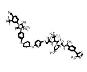 Cc1ncsc1-c1ccc([C@H](C)NC(=O)[C@@H]2C[C@@H](O)CN2C(=O)[C@@H](NC(=O)COc2ccc(O[C@H]3CC[C@H](Oc4ccc(N5C(=S)N(c6ccc(C#N)c(C(F)(F)F)c6)C(O)C5(C)C)cc4)CC3)nc2)C(C)(C)C)cc1